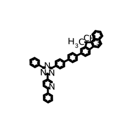 CC1(C)c2cc(-c3ccc(-c4ccc(-c5nc(-c6ccccc6)nc(-c6ccc(-c7ccccc7)nc6)n5)cc4)cc3)ccc2-c2ccc3ccccc3c21